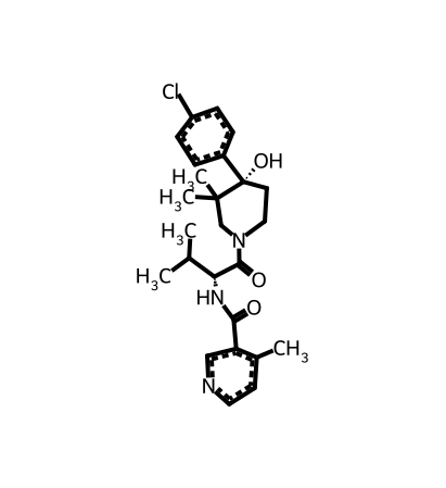 Cc1ccncc1C(=O)N[C@@H](C(=O)N1CC[C@](O)(c2ccc(Cl)cc2)C(C)(C)C1)C(C)C